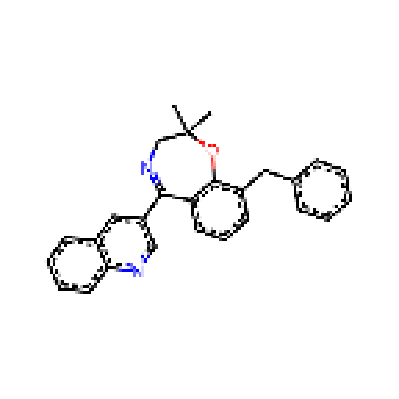 CC1(C)CN=C(c2cnc3ccccc3c2)c2cccc(Cc3ccccc3)c2O1